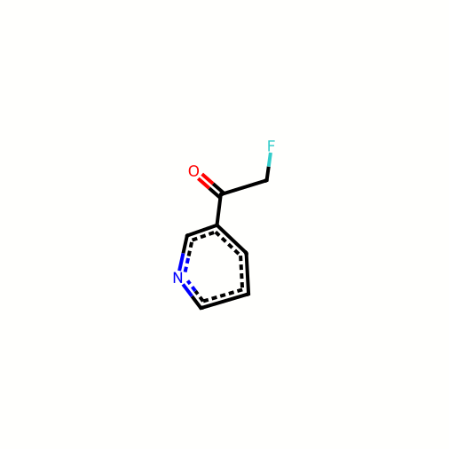 O=C(CF)c1cccnc1